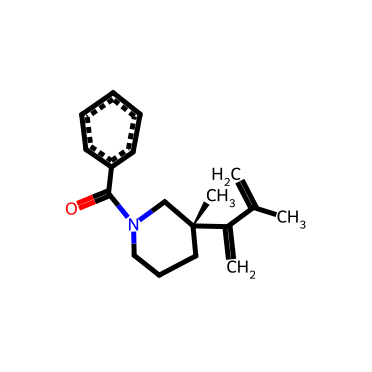 C=C(C)C(=C)[C@]1(C)CCCN(C(=O)c2ccccc2)C1